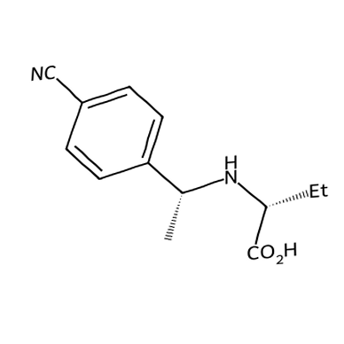 CC[C@@H](N[C@H](C)c1ccc(C#N)cc1)C(=O)O